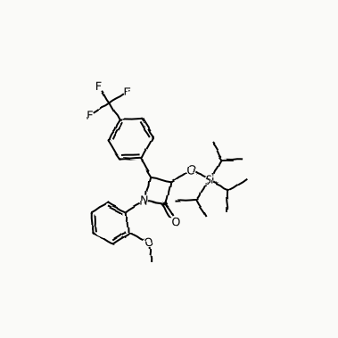 COc1ccccc1N1C(=O)C(O[Si](C(C)C)(C(C)C)C(C)C)C1c1ccc(C(F)(F)F)cc1